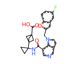 O=C(NC1(C23CC(C(=O)O)(C2)C3)CC1)c1cncc2ccn(Cc3cc4cc(F)ccc4o3)c12